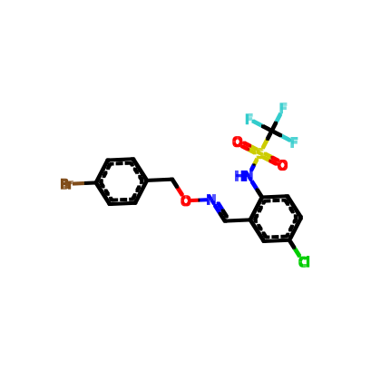 O=S(=O)(Nc1ccc(Cl)cc1/C=N/OCc1ccc(Br)cc1)C(F)(F)F